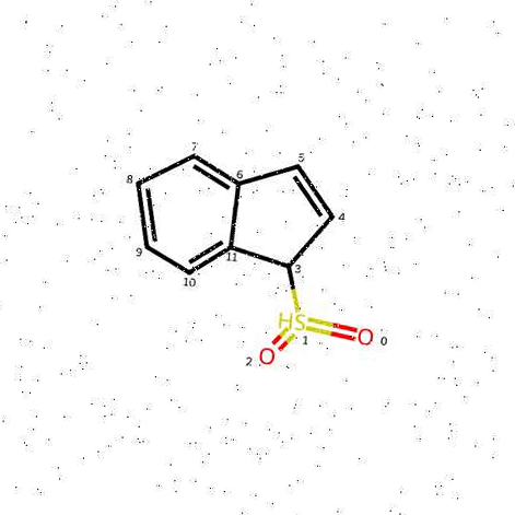 O=[SH](=O)C1C=Cc2ccccc21